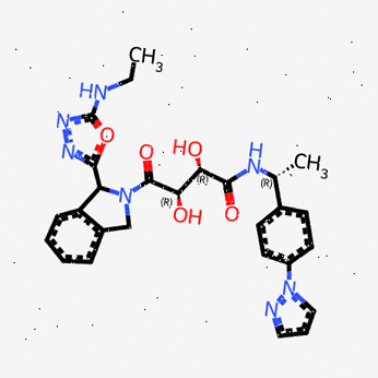 CCNc1nnc(C2c3ccccc3CN2C(=O)[C@H](O)[C@@H](O)C(=O)N[C@H](C)c2ccc(-n3cccn3)cc2)o1